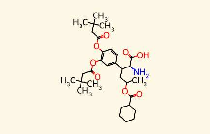 CC(CC(c1ccc(OC(=O)CC(C)(C)C)c(OC(=O)CC(C)(C)C)c1)[C@H](N)C(=O)O)OC(=O)C1CCCCC1